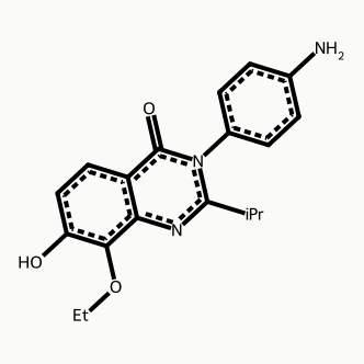 CCOc1c(O)ccc2c(=O)n(-c3ccc(N)cc3)c(C(C)C)nc12